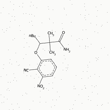 CCCCC(Oc1cccc([N+](=O)[O-])c1C#N)C(C)(C)C(N)=O